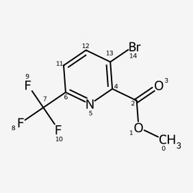 COC(=O)c1nc(C(F)(F)F)ccc1Br